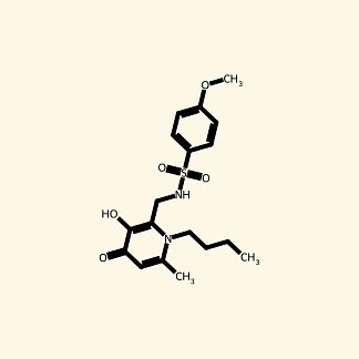 CCCCn1c(C)cc(=O)c(O)c1CNS(=O)(=O)c1ccc(OC)cc1